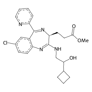 COC(=O)CC[C@@H]1N=C(c2ccccn2)c2cc(Cl)ccc2N=C1NCC(O)C1CCC1